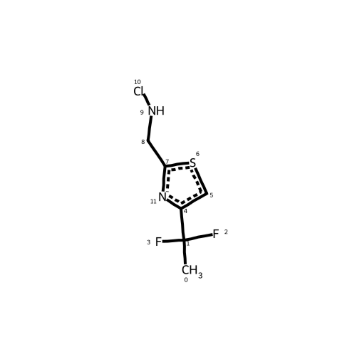 CC(F)(F)c1csc(CNCl)n1